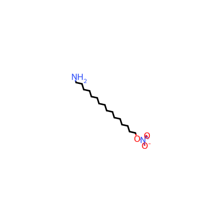 NCCCCCCCCCCCCCCCCO[N+](=O)[O-]